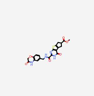 COC(=O)C1Cc2sc3nc(C(=O)NCc4ccc5c(c4)NC(=O)CO5)[nH]c(=O)c3c2C1